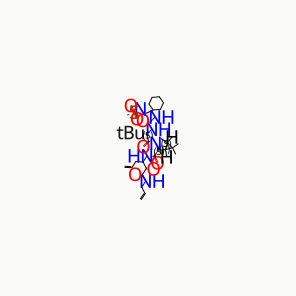 C=CCNC(=O)C(=O)C(CC=C)NC(=O)[C@@H]1[C@@H]2[C@H](CN1C(=O)[C@@H](NC(=O)NC1(CN(C)S(C)(=O)=O)CCCCC1)C(C)(C)C)C2(C)C